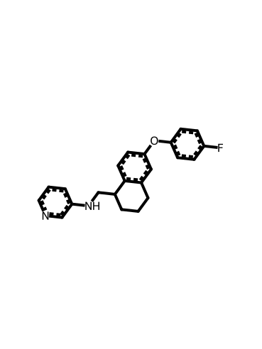 Fc1ccc(Oc2ccc3c(c2)CCCC3CNc2cccnc2)cc1